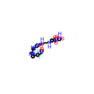 O=C(CN1CCC(n2cc(-c3cnc4cccc(-c5cc(F)c(CN6CCOCC6)c(F)c5)c4n3)cn2)CC1)NCCCCNc1ccc2c(c1)C(=O)N(C1CCC(=O)NC1=O)C2=O